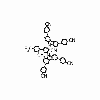 N#Cc1ccc(-c2ccc3c(c2)c2cc(-c4ccc(C#N)cc4)ccc2n3-c2cc(-c3ccc(C(F)(F)F)cc3C(F)(F)F)cc(-n3c4ccc(-c5ccc(C#N)cc5)cc4c4cc(-c5ccc(C#N)cc5)ccc43)c2C#N)cc1